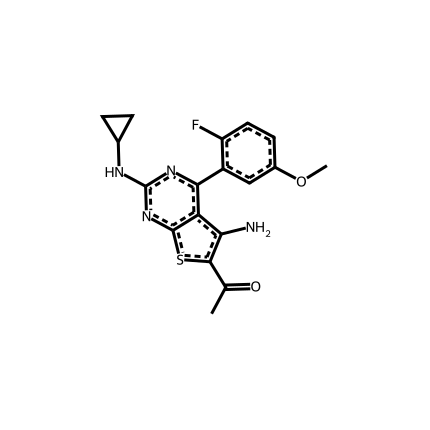 COc1ccc(F)c(-c2nc(NC3CC3)nc3sc(C(C)=O)c(N)c23)c1